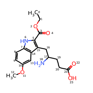 CCOC(=O)c1[nH]c2ccc(OC)cc2c1CC(N)CCC(=O)O